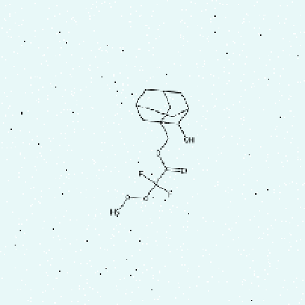 O=C(OCC12CC3CC(CC(C3)C1O)C2)C(F)(F)OOS